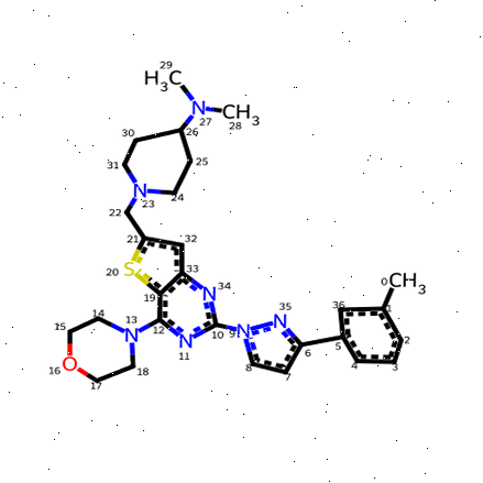 Cc1cccc(-c2ccn(-c3nc(N4CCOCC4)c4sc(CN5CCC(N(C)C)CC5)cc4n3)n2)c1